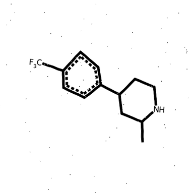 CC1CC(c2ccc(C(F)(F)F)cc2)CCN1